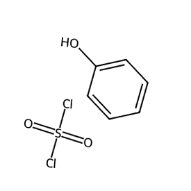 O=S(=O)(Cl)Cl.Oc1ccccc1